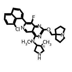 C[C@H]1CNCC1N(C)c1nc(OCC23CCCN2CCC3)nc2c(F)c(-c3cccc4cccc(Cl)c34)ncc12